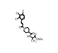 COC(=O)C(C)NC(=O)C1CCN(C(=O)/C=C/c2ccc(F)c(Cl)c2Cl)CC1